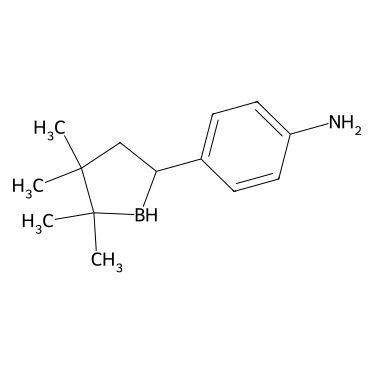 CC1(C)BC(c2ccc(N)cc2)CC1(C)C